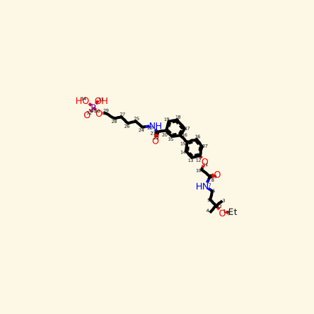 CCOC(C)(C)CCNC(=O)COc1ccc(-c2cccc(C(=O)NCCCCCCOP(=O)(O)O)c2)cc1